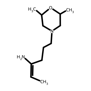 C/C=C(/N)CCCN1CC(C)OC(C)C1